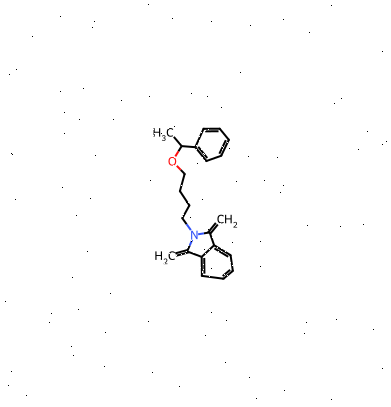 C=c1c2ccccc2c(=C)n1CCCCOC(C)c1ccccc1